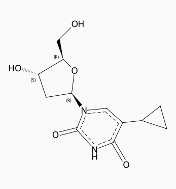 O=c1[nH]c(=O)n([C@H]2C[C@H](O)[C@@H](CO)O2)cc1C1CC1